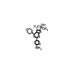 CC(C)(O)c1cc2c(N3CCOCC3)nc(-c3ccc(N)nc3)nc2s1